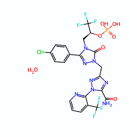 NC(=O)c1nc(Cn2nc(-c3ccc(Cl)cc3)n(C[C@H](OP(=O)(O)O)C(F)(F)F)c2=O)nn1-c1ncccc1C(F)(F)F.O